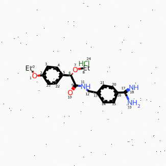 CCOc1ccc([C@H](OCC)C(=O)NCc2ccc(C(=N)N)cc2)cc1.Cl